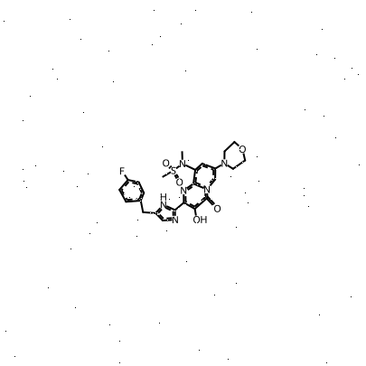 CN(c1cc(N2CCOCC2)cn2c(=O)c(O)c(-c3ncc(Cc4ccc(F)cc4)[nH]3)nc12)S(C)(=O)=O